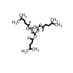 CC(C)CCC(F)OB1OB(OC(F)CCC(C)C)OB(OC(F)CCC(C)C)O1